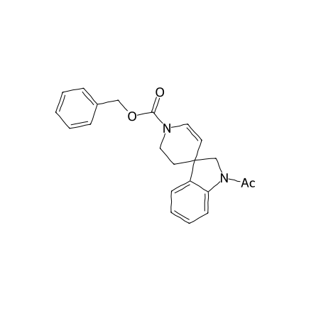 CC(=O)N1CC2(C=CN(C(=O)OCc3ccccc3)CC2)c2ccccc21